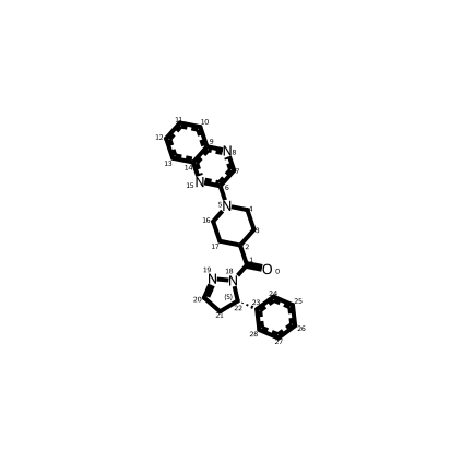 O=C(C1CCN(c2cnc3ccccc3n2)CC1)N1N=CC[C@H]1c1ccccc1